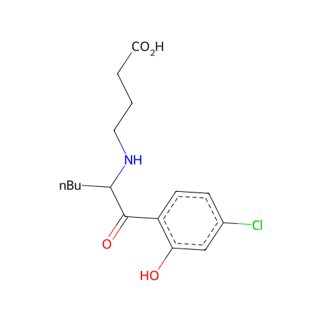 CCCCC(NCCCC(=O)O)C(=O)c1ccc(Cl)cc1O